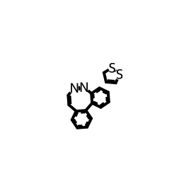 C1=CSSC1.C1=Cc2ccccc2-c2ccccc2N=N1